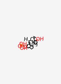 Cc1cc(OCP(=O)(O)O)cc2c1[C@H](c1ccc(O)c(C3(C)CC3)c1)CC2